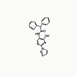 O=C(Nc1cnc(-n2cccn2)nc1O)C(c1ccccc1)c1ccccc1